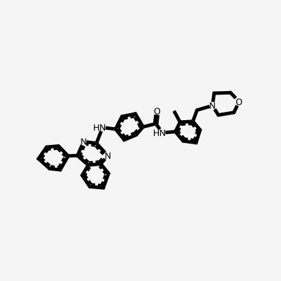 Cc1c(CN2CCOCC2)cccc1NC(=O)c1ccc(Nc2nc(-c3ccccc3)c3ccccc3n2)cc1